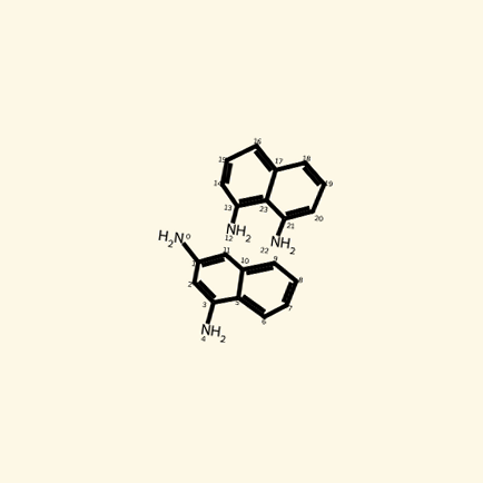 Nc1cc(N)c2ccccc2c1.Nc1cccc2cccc(N)c12